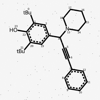 CC(C)(C)c1cc(C(C#Cc2ccccc2)N2CCCCC2)cc(C(C)(C)C)c1O